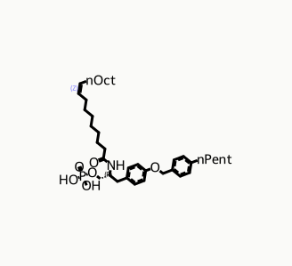 CCCCCCCC/C=C\CCCCCCCC(=O)N[C@@H](COP(=O)(O)O)Cc1ccc(OCc2ccc(CCCCC)cc2)cc1